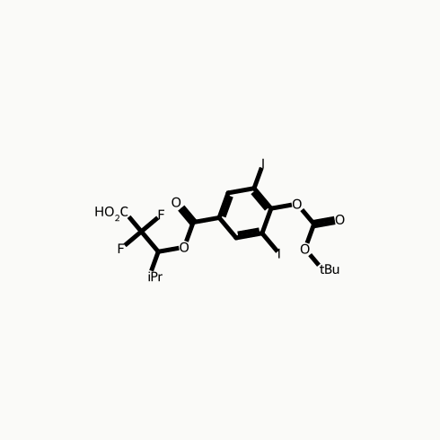 CC(C)C(OC(=O)c1cc(I)c(OC(=O)OC(C)(C)C)c(I)c1)C(F)(F)C(=O)O